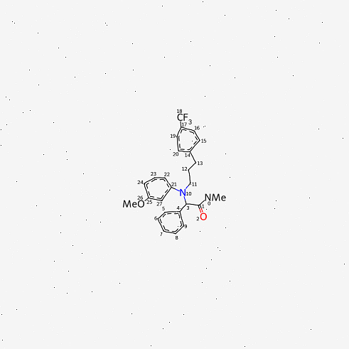 CNC(=O)C(c1ccccc1)N(CCCc1ccc(C(F)(F)F)cc1)c1cccc(OC)c1